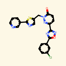 O=c1ccc(-c2noc(-c3cccc(Cl)c3)n2)nn1Cc1cnc(-c2cccnc2)s1